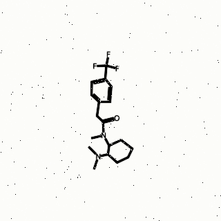 CN(C)C1CCCCC1N(C)C(=O)Cc1ccc(C(F)(F)F)cc1